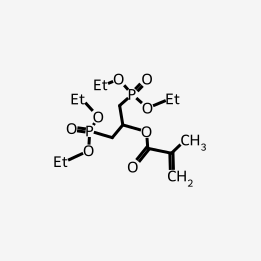 C=C(C)C(=O)OC(CP(=O)(OCC)OCC)CP(=O)(OCC)OCC